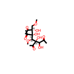 COC[C@](O)(C(C)=O)[C@](O)(C(C)=O)[C@H](OC)[C@@](O)(C(C)=O)C(O)C(C)=O